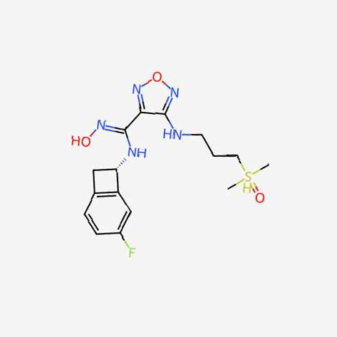 C[SH](C)(=O)CCCNc1nonc1/C(=N/O)N[C@H]1Cc2ccc(F)cc21